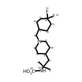 CC(C)(CC1CCN(CC2CCC(F)(F)CC2)CC1)NC(=O)O